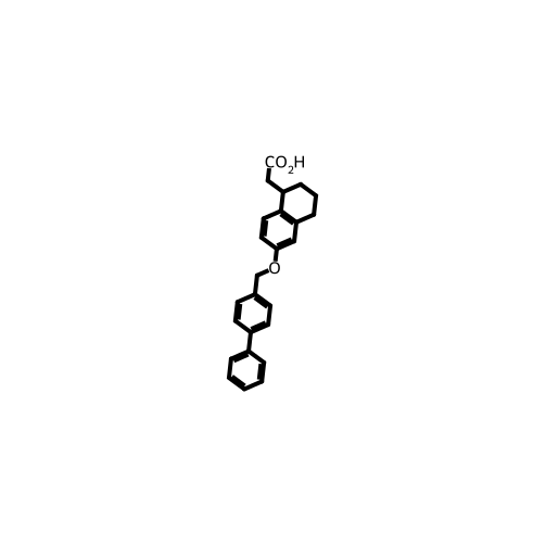 O=C(O)CC1CCCc2cc(OCc3ccc(-c4ccccc4)cc3)ccc21